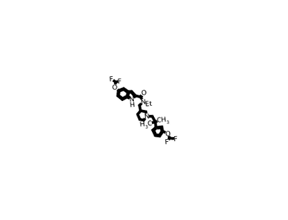 CCN(CC1CCCN(CC(C)(C)c2cccc(OC(F)F)c2)C1)C(=O)c1cc2cc(OC(F)F)ccc2[nH]1